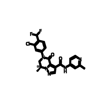 Cc1cc(NC(=O)c2cnn3c2C(=O)N(c2ccc(C(F)F)c(Cl)c2)C[C@@H]3C)ccn1